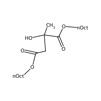 CCCCCCCCOC(=O)CC(C)(O)C(=O)OCCCCCCCC